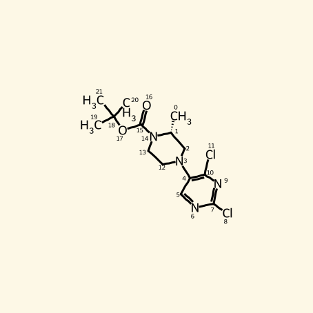 C[C@@H]1CN(c2cnc(Cl)nc2Cl)CCN1C(=O)OC(C)(C)C